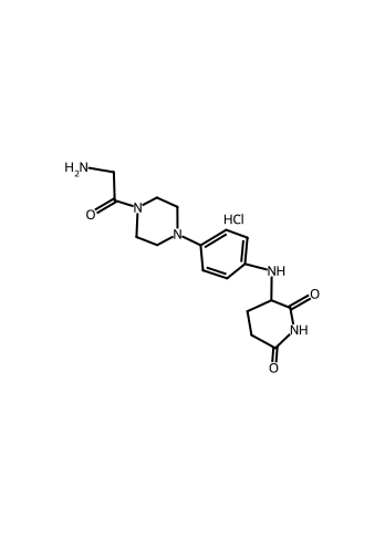 Cl.NCC(=O)N1CCN(c2ccc(NC3CCC(=O)NC3=O)cc2)CC1